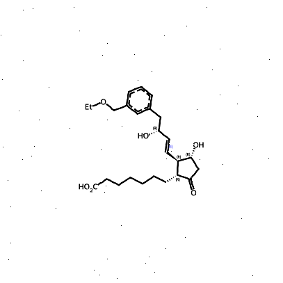 CCOCc1cccc(C[C@@H](O)/C=C/[C@H]2[C@H](O)CC(=O)[C@@H]2CCCCCCC(=O)O)c1